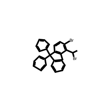 Cc1c(C(c2ccccc2)(c2ccccc2)c2ccccc2)ccc(Br)c1C(C)Br